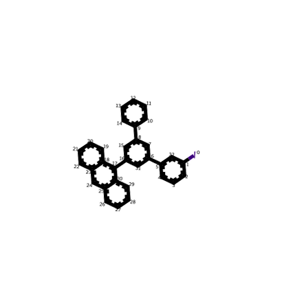 Ic1cccc(-c2cc(-c3ccccc3)cc(-c3c4ccccc4cc4ccccc34)c2)c1